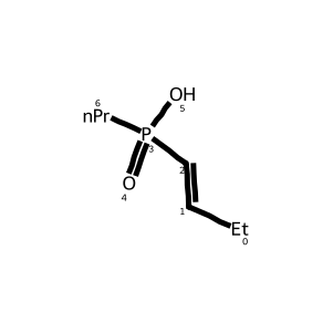 CCC=CP(=O)(O)CCC